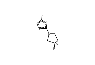 Cc1cnc(N2CC[C@@H](F)C2)s1